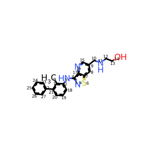 Cc1c(Nc2nsc3cc(CNCCO)cnc23)cccc1-c1ccccc1